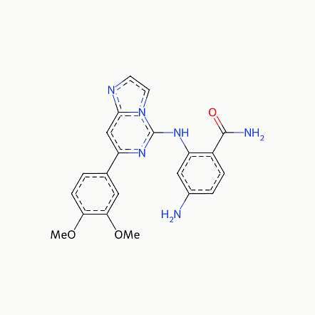 COc1ccc(-c2cc3nccn3c(Nc3cc(N)ccc3C(N)=O)n2)cc1OC